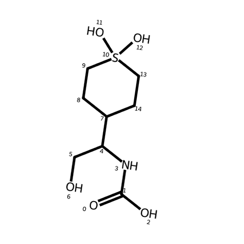 O=C(O)NC(CO)C1CCS(O)(O)CC1